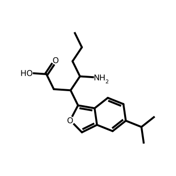 CCCC(N)C(CC(=O)O)c1occ2cc(C(C)C)ccc12